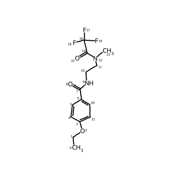 CCOc1ccc(C(=O)NCCN(C)C(=O)C(F)(F)F)cc1